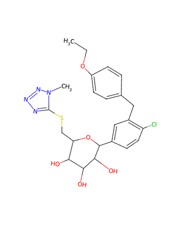 CCOc1ccc(Cc2cc(C3OC(CSc4nnnn4C)C(O)C(O)C3O)ccc2Cl)cc1